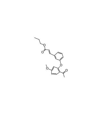 CCCOC(=O)/C=C/c1cccc(Oc2cc(OC)ccc2C(C)=O)c1